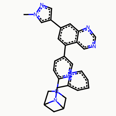 Cn1cc(-c2cc(-c3ccc(N4CC5CC(C4)N5Cc4ccccn4)nc3)c3cncnc3c2)cn1